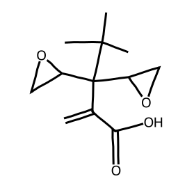 C=C(C(=O)O)C(C1CO1)(C1CO1)C(C)(C)C